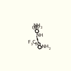 Nc1cccc2c1cc(C#CCNc1ccc(S(N)(=O)=O)cc1)n2CC(F)(F)F